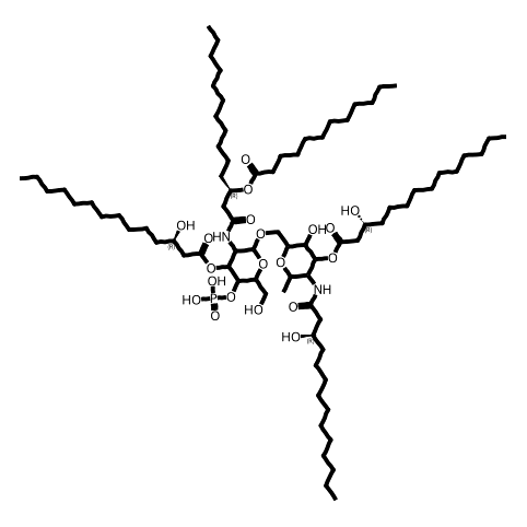 CCCCCCCCCCCC(=O)O[C@H](CCCCCCCCCCC)CC(=O)NC1C(OCC2OC(C)C(NC(=O)C[C@H](O)CCCCCCCCCCC)C(OC(=O)C[C@H](O)CCCCCCCCCCC)C2O)OC(CO)C(OP(=O)(O)O)C1OC(=O)C[C@H](O)CCCCCCCCCCC